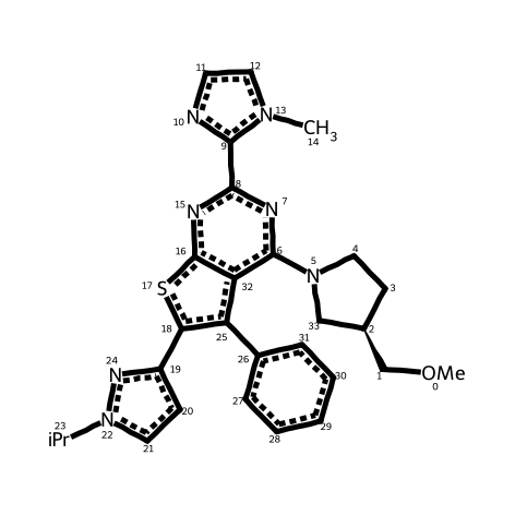 COC[C@@H]1CCN(c2nc(-c3nccn3C)nc3sc(-c4ccn(C(C)C)n4)c(-c4ccccc4)c23)C1